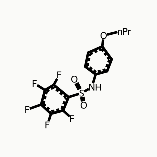 CCCOc1ccc(NS(=O)(=O)c2c(F)c(F)c(F)c(F)c2F)cc1